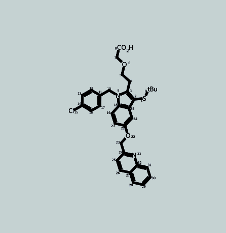 CC(C)(C)Sc1c(CCOCC(=O)O)n(Cc2ccc(Cl)cc2)c2ccc(OCc3ccc4ccccc4n3)cc12